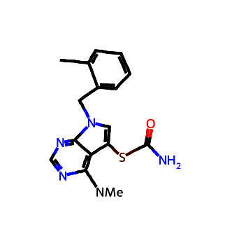 CNc1ncnc2c1c(SC(N)=O)cn2Cc1ccccc1C